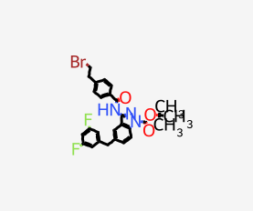 CC(C)(C)OC(=O)n1nc(NC(=O)c2ccc(CCBr)cc2)c2cc(Cc3cc(F)cc(F)c3)ccc21